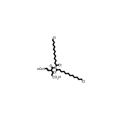 CCCCCCCC/C=C/C(CCC(=O)O)C(=O)N(C(CC)CCCCCCCCCCCCl)C(CC)CCCCCCCCCCCCl